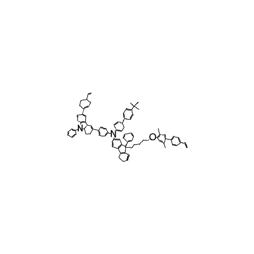 C=Cc1ccc(-c2cc(C)c(OCCCCCC3(c4ccccc4)C4=C(CCC=C4)c4ccc(N(C5=CCC(c6ccc(C(C)(C)C)cc6)C=C5)c5ccc(C6=CC7c8cc(C9=CCC(C=C)CC9)ccc8N(c8ccccc8)C7CC6)cc5)cc43)cc2C)cc1